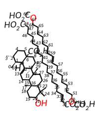 C[C@H]1[C@H](C)CC[C@]2(C(=O)O)CC[C@]3(C)C(=CCC4[C@@]5(C)CC[C@H](O)C(C)(C)C5CC[C@]43C)[C@H]12.O=C(O)C=CCCCCCCCCCCCCCCC(=O)O.O=C(O)OCCCCCCCC=CCCCCCCCOC(=O)O